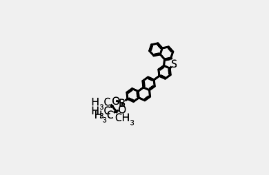 CC1(C)OB(c2ccc3c(ccc4cc(-c5ccc6sc7ccc8ccccc8c7c6c5)ccc43)c2)OC1(C)C